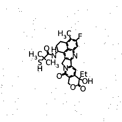 CC[C@@]1(O)C(=O)OCc2c1cc1n(c2=O)Cc2c-1nc1cc(F)c(C)c3c1c2[C@@H](NC(=O)C(C)(C)S)CC3